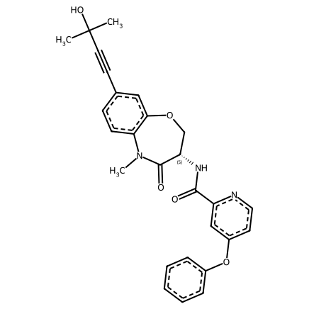 CN1C(=O)[C@@H](NC(=O)c2cc(Oc3ccccc3)ccn2)COc2cc(C#CC(C)(C)O)ccc21